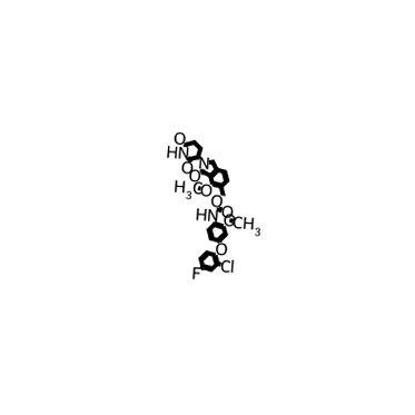 COc1cc(Oc2ccc(F)cc2Cl)ccc1NC(=O)OCc1ccc2c(c1OC)C(=O)N(C1CCC(=O)NC1=O)C2